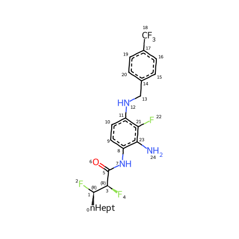 CCCCCCC[C@@H](F)[C@H](F)C(=O)Nc1ccc(NCc2ccc(C(F)(F)F)cc2)c(F)c1N